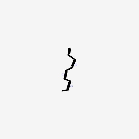 C=C\C=C/C=C\C=C/C